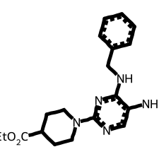 CCOC(=O)C1CCN(c2ncc(N)c(NCc3ccccc3)n2)CC1